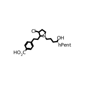 CCCCC[C@@H](O)CCCN1CCC(Cl)C1CCc1ccc(C(=O)O)cc1